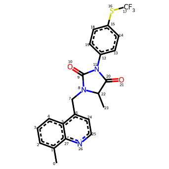 Cc1cccc2c(CN3C(=O)N(c4ccc(SC(F)(F)F)cc4)C(=O)C3C)ccnc12